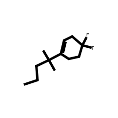 CCCC(C)(C)C1=CCC(F)(F)CC1